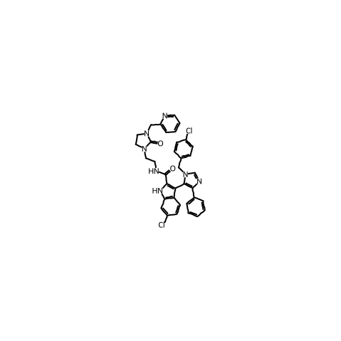 O=C(NCCN1CCN(Cc2ccccn2)C1=O)c1[nH]c2cc(Cl)ccc2c1-c1c(-c2ccccc2)ncn1Cc1ccc(Cl)cc1